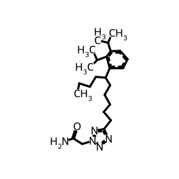 CCCCC(CCCCCc1nnn(CC(N)=O)n1)c1cccc(C(C)C)c1C(C)C